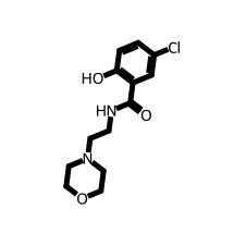 O=C(NCCN1CCOCC1)c1cc(Cl)ccc1O